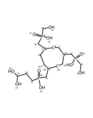 O=P(O)(CO)CN1CCN(CP(=O)(O)CO)CCN(CP(=O)(O)CCC(O)O)CC1